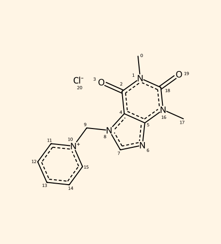 Cn1c(=O)c2c(ncn2C[n+]2ccccc2)n(C)c1=O.[Cl-]